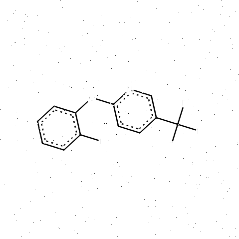 Fc1[c]cccc1Oc1ccc(C(F)(F)F)cn1